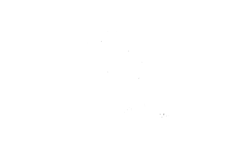 COC(=O)Cc1ccc2c(c1)CCCCC2=O